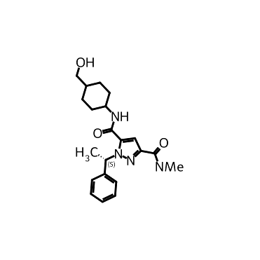 CNC(=O)c1cc(C(=O)NC2CCC(CO)CC2)n([C@@H](C)c2ccccc2)n1